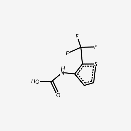 O=C(O)Nc1ccsc1C(F)(F)F